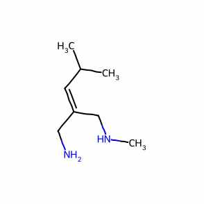 CNC/C(=C\C(C)C)CN